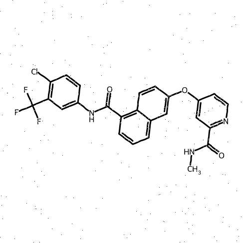 CNC(=O)c1cc(Oc2ccc3c(C(=O)Nc4ccc(Cl)c(C(F)(F)F)c4)cccc3c2)ccn1